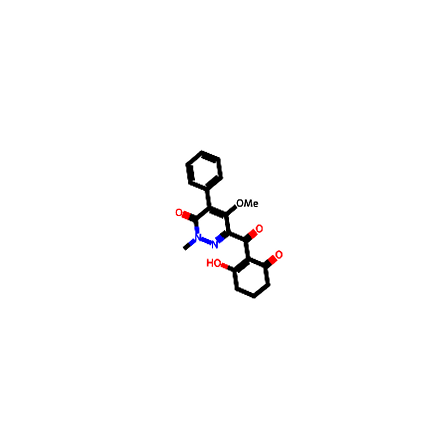 COc1c(C(=O)C2=C(O)CCCC2=O)nn(C)c(=O)c1-c1ccccc1